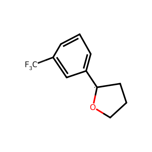 FC(F)(F)c1cccc([C]2CCCO2)c1